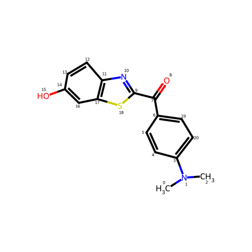 CN(C)c1ccc(C(=O)c2nc3ccc(O)cc3s2)cc1